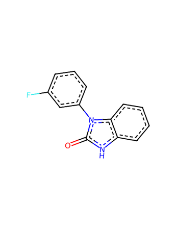 O=c1[nH]c2ccccc2n1-c1cccc(F)c1